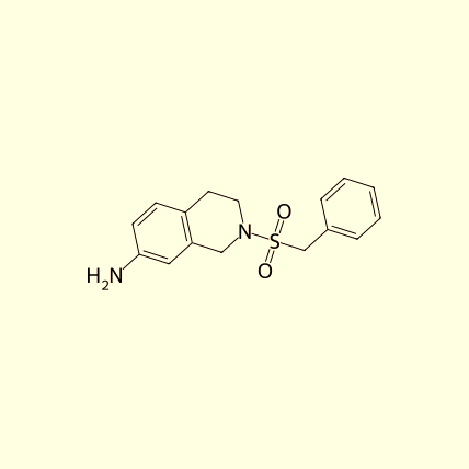 Nc1ccc2c(c1)CN(S(=O)(=O)Cc1ccccc1)CC2